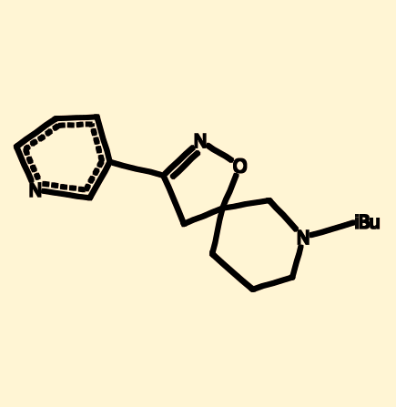 CCC(C)N1CCCC2(CC(c3cccnc3)=NO2)C1